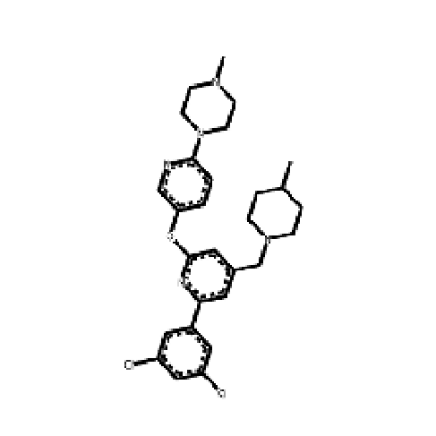 [CH2]C1CCN(Cc2cc(Oc3ccc(N4CCN(C)CC4)nc3)nc(-c3cc(Cl)cc(Cl)c3)c2)CC1